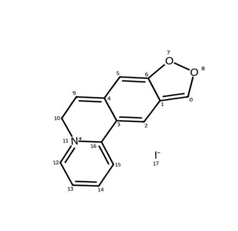 C1=c2cc3c(cc2OO1)=CC[n+]1ccccc1-3.[I-]